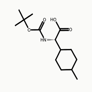 CC1CCC([C@H](NC(=O)OC(C)(C)C)C(=O)O)CC1